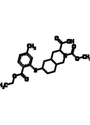 CCOC(=O)c1ccc(C)cc1SC1CCC2CN(C(=O)OC)C(C(=O)O)CC2C1